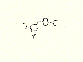 COC(=O)c1cc(Cc2ccc(-c3cnn(C)c3)cc2)c(C)c2cc(C)oc12